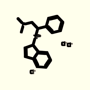 CP(C)C[CH]([Ti+3][CH]1C=Cc2ccccc21)c1ccccc1.[Cl-].[Cl-].[Cl-]